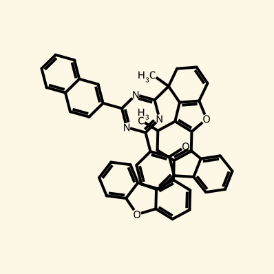 CC1CC(c2cccc3oc4ccccc4c23)=Cc2oc3c(c21)C(C)(c1nc(-c2ccc4ccccc4c2)nc(-c2cccc4c2oc2ccccc24)n1)CC=C3